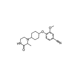 COc1cc(C#N)ccc1OC1CCC(N2CCNC(=O)C2C)CC1